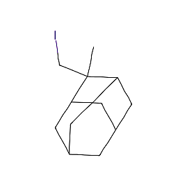 CC1(CI)C2CC3CC(C2)CC1C3